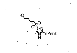 CCCCCc1nc(S(=O)(=O)CCCC[O])c[nH]1